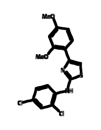 COc1ccc(-c2csc(Nc3ccc(Cl)cc3Cl)n2)c(OC)c1